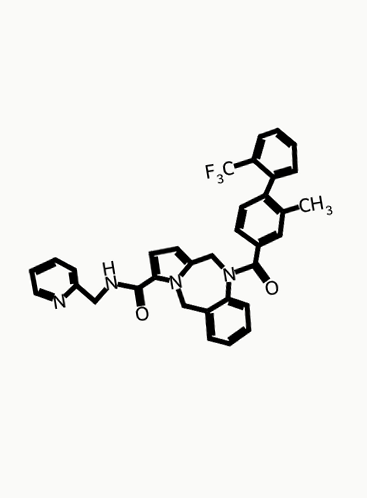 Cc1cc(C(=O)N2Cc3ccc(C(=O)NCc4ccccn4)n3Cc3ccccc32)ccc1-c1ccccc1C(F)(F)F